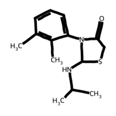 Cc1cccc(N2C(=O)CSC2NC(C)C)c1C